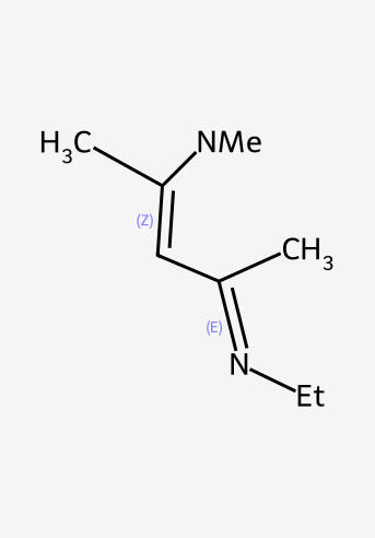 CC/N=C(C)/C=C(/C)NC